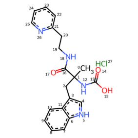 CC(Cc1c[nH]c2ccccc12)(NC(=O)O)C(=O)NCCc1ccccn1.Cl